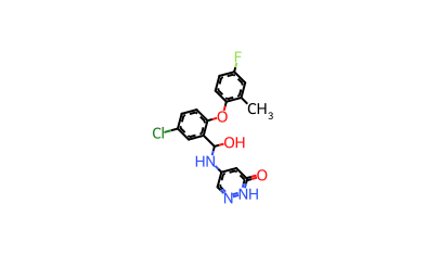 Cc1cc(F)ccc1Oc1ccc(Cl)cc1C(O)Nc1cn[nH]c(=O)c1